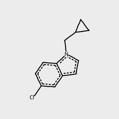 Clc1ccc2c([c]cn2CC2CC2)c1